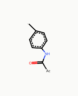 [CH2]c1ccc(NC(=O)C(C)=O)cc1